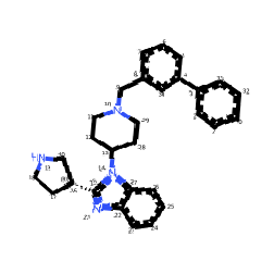 c1ccc(-c2cccc(CN3CCC(n4c([C@@H]5CCNC5)nc5ccccc54)CC3)c2)cc1